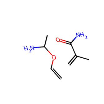 C=C(C)C(N)=O.C=COC(C)N